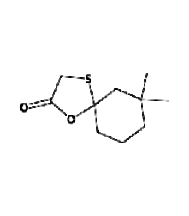 CC1(C)CCCC2(C1)OC(=O)CS2